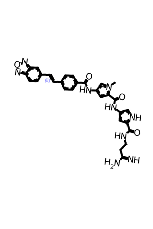 Cn1cc(NC(=O)c2ccc(/C=C/c3ccc4nonc4c3)cc2)cc1C(=O)Nc1c[nH]c(C(=O)NCCC(=N)N)c1